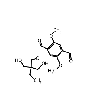 CCC(CO)(CO)CO.COc1cc(C=O)c(OC)cc1C=O